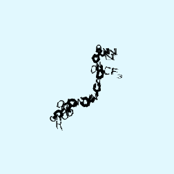 Cn1cnnc1CC1(c2cccc(N3Cc4c(cc(N5CCC(CN6CC7(CCN(c8ccc9c(c8)C(=O)N(C8CCC(=O)NC8=O)C9=O)CC7)C6)CC5)cc4C(F)(F)F)C3=O)c2)COC1